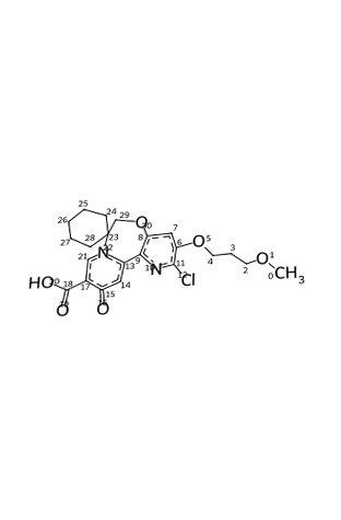 COCCCOc1cc2c(nc1Cl)-c1cc(=O)c(C(=O)O)cn1C1(CCCCC1)CO2